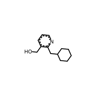 OCc1cccnc1CC1CCCCC1